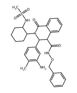 Cc1ccc(C2C(C(=O)NOCc3ccccc3)c3ccccc3C(=O)N2C2CCCCC2NS(C)(=O)=O)cc1N